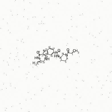 C=CC(=O)N1CCCC(NC(=O)c2ccc3sc4c(c3c2)NC[C@@H](C)NC4=O)C1